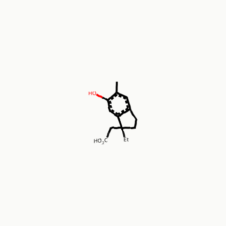 CCC1(CC(=O)O)CCc2cc(C)c(O)cc21